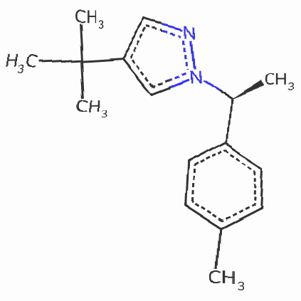 Cc1ccc([C@H](C)n2cc(C(C)(C)C)cn2)cc1